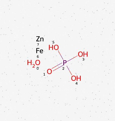 O.O=P(O)(O)O.[Fe].[Zn]